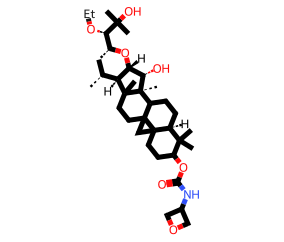 CCO[C@@H]([C@H]1C[C@@H](C)[C@H]2[C@H](O1)[C@H](O)[C@@]1(C)C3CC[C@H]4C(C)(C)C(OC(=O)NC5COC5)CCC45CC35CCC21C)C(C)(C)O